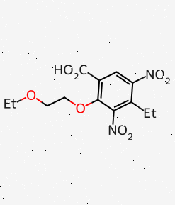 CCOCCOc1c(C(=O)O)cc([N+](=O)[O-])c(CC)c1[N+](=O)[O-]